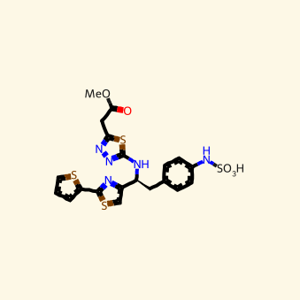 COC(=O)Cc1nnc(N[C@@H](Cc2ccc(NS(=O)(=O)O)cc2)c2csc(-c3cccs3)n2)s1